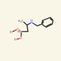 CCO[SiH](CC(C)NCc1ccccc1)OCC